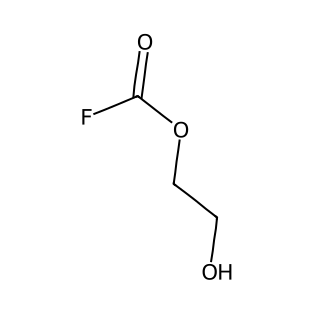 O=C(F)OCCO